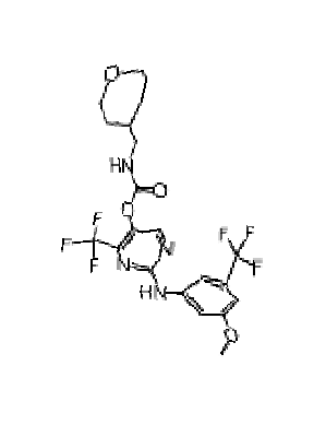 COc1cc(Nc2ncc(OC(=O)NCC3CCOCC3)c(C(F)(F)F)n2)cc(C(F)(F)F)c1